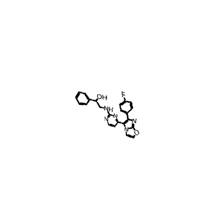 OC(CNc1nccc(-c2c(-c3ccc(F)cc3)nc3occn23)n1)c1ccccc1